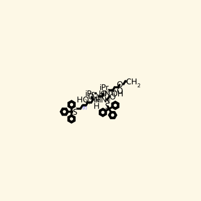 C=CCOC(=O)C[C@H](O)[C@H](NC(=O)[C@@H](CSC(c1ccccc1)(c1ccccc1)c1ccccc1)NC(=O)[C@@H](CC(C)C)NC(=O)C[C@@H](O)/C=C/CCSC(c1ccccc1)(c1ccccc1)c1ccccc1)C(C)C